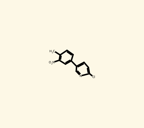 Cc1ccc(-c2[c]nc(Cl)cc2)cc1[N+](=O)[O-]